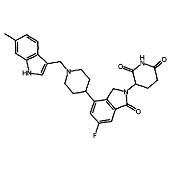 Cc1ccc2c(CN3CCC(c4cc(F)cc5c4CN(C4CCC(=O)NC4=O)C5=O)CC3)c[nH]c2c1